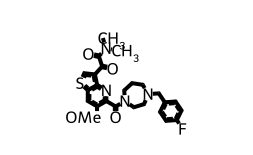 COc1cc2scc(C(=O)C(=O)N(C)C)c2nc1C(=O)N1CCCN(Cc2ccc(F)cc2)CC1